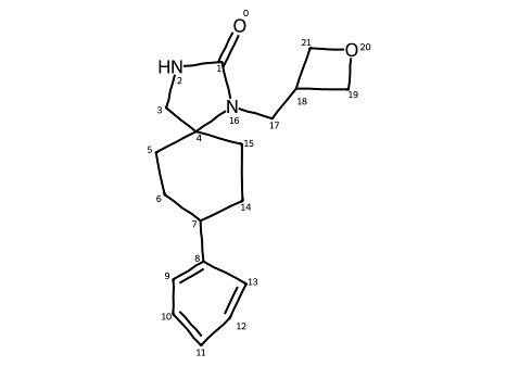 O=C1NCC2(CCC(c3ccccc3)CC2)N1CC1COC1